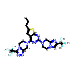 CCCc1cc2c(N3CCn4c(nnc4C(F)(F)F)C3)nc(N3CCn4cc(C(F)(F)F)nc4C3)nc2s1